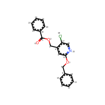 O=C(OCc1cc(OCc2ccccc2)ncc1Cl)c1ccccc1